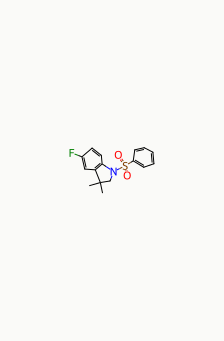 CC1(C)CN(S(=O)(=O)c2ccccc2)c2ccc(F)cc21